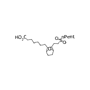 CCCCCS(=O)(=O)CCC1C2CCC(O2)C1CCCCCCC(=O)O